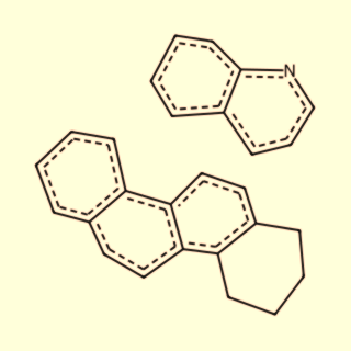 c1ccc2c(c1)ccc1c3c(ccc12)CCCC3.c1ccc2ncccc2c1